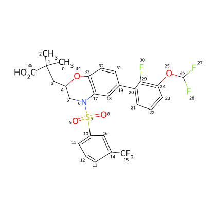 CC(C)(CC1CN(S(=O)(=O)c2cccc(C(F)(F)F)c2)c2cc(-c3cccc(OC(F)F)c3F)ccc2O1)C(=O)O